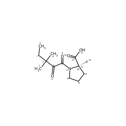 CCC(C)(C)C(=O)C(=O)N1CCC[C@]1(I)C(=O)O